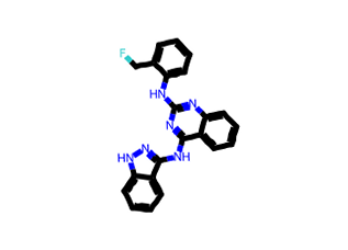 FCc1ccccc1Nc1nc(Nc2n[nH]c3ccccc23)c2ccccc2n1